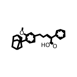 COc1cc(CCC=C(C(=O)O)c2ccccc2)ccc1C12CC3CC(CC(C3)C1)C2